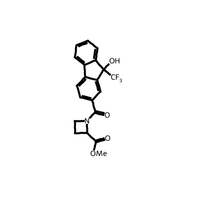 COC(=O)C1CCN1C(=O)c1ccc2c(c1)C(O)(C(F)(F)F)c1ccccc1-2